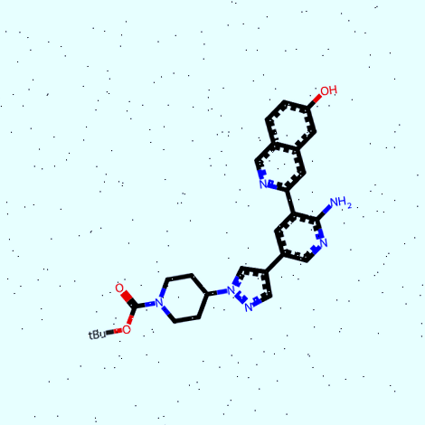 CC(C)(C)OC(=O)N1CCC(n2cc(-c3cnc(N)c(-c4cc5cc(O)ccc5cn4)c3)cn2)CC1